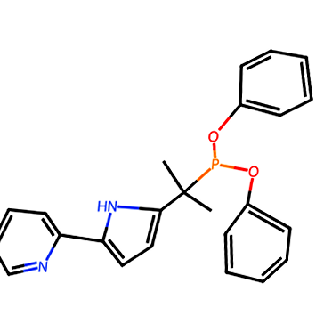 CC(C)(c1ccc(-c2ccccn2)[nH]1)P(Oc1ccccc1)Oc1ccccc1